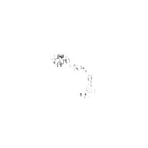 CC(C)(C)n1nc(-c2noc(C3CC3)c2-c2ncc(C3CCN(C(=O)OCC(=O)N4CCC(CN5CCN(c6ccc(NC7CCC(=O)NC7=O)cc6Cl)CC5)CC4)CC3)cn2)c2c(N)ncnc21